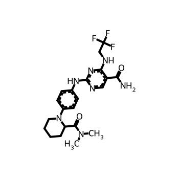 CN(C)C(=O)C1CCCCN1c1ccc(Nc2ncc(C(N)=O)c(NCC(F)(F)F)n2)cc1